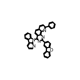 c1ccc(-c2ccc3ccc4c(-n5c6ccccc6c6cccnc65)nc(-c5ccc6oc7ccccc7c6c5)nc4c3n2)cc1